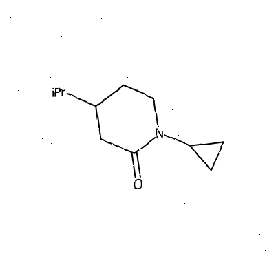 CC(C)C1CCN(C2CC2)C(=O)C1